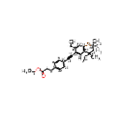 CCOC(=O)CCc1ccc(C#Cc2cc3c(cc2CC)SC(C)(C)CC3(C)C)cc1